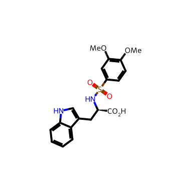 COc1ccc(S(=O)(=O)N[C@H](Cc2c[nH]c3ccccc23)C(=O)O)cc1OC